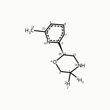 [2H]C1([2H])CO[C@@H](c2cccc(C)n2)CN1